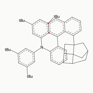 CC(C)(C)c1cc(N(c2cc(C(C)(C)C)cc(C(C)(C)C)c2)c2ccccc2-c2cccc3cccc(C45CC6CC7CC(C4)C75C6)c23)cc(C(C)(C)C)c1